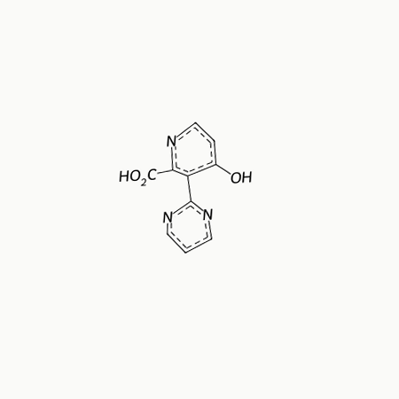 O=C(O)c1nccc(O)c1-c1ncccn1